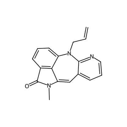 C=CCN1c2cccc3c2C(=Cc2cccnc21)N(C)C3=O